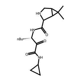 CCCC[C@H](NC(=O)C1NCC2C1C2(C)C)C(=O)C(=O)NC1CC1